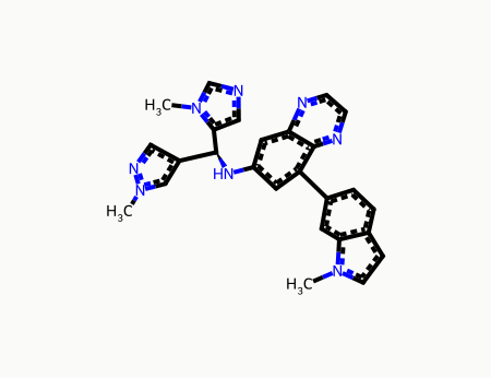 Cn1cc([C@H](Nc2cc(-c3ccc4ccn(C)c4c3)c3nccnc3c2)c2cncn2C)cn1